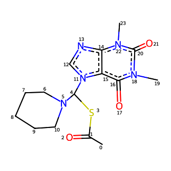 CC(=O)SC(N1CCCCC1)n1cnc2c1c(=O)n(C)c(=O)n2C